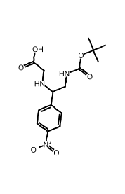 CC(C)(C)OC(=O)NCC(NCC(=O)O)c1ccc([N+](=O)[O-])cc1